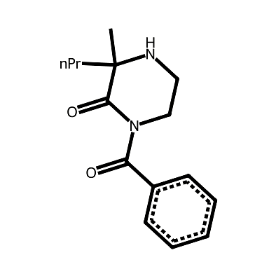 CCCC1(C)NCCN(C(=O)c2ccccc2)C1=O